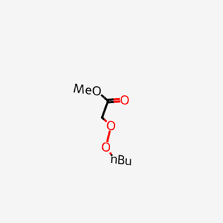 CCCCOOCC(=O)OC